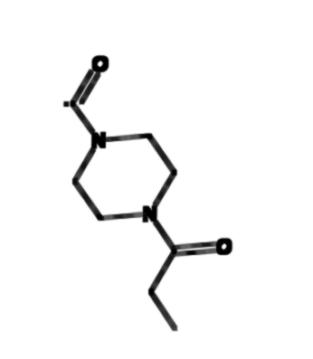 CCC(=O)N1CCN([C]=O)CC1